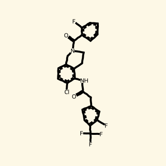 O=C(Cc1ccc(C(F)(F)F)c(F)c1)Nc1c(Cl)ccc2c1CCN(C(=O)c1ccccc1F)C2